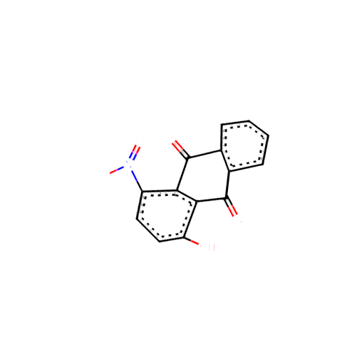 O=C1c2ccccc2C(=O)c2c([N+](=O)[O-])ccc(O)c21